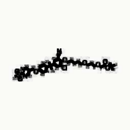 CC(C)(C)OC(=O)COCCCOCCCCCOc1c(Cl)cc(C(C)(C)c2ccc(OCc3cnc(S(C)(=O)=O)nc3)cc2)cc1C#N